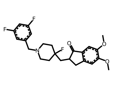 COc1cc2c(cc1OC)C(=O)C(CC1(F)CCN(Cc3cc(F)cc(F)c3)CC1)C2